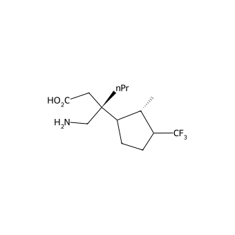 CCC[C@@](CN)(CC(=O)O)C1CCC(C(F)(F)F)[C@H]1C